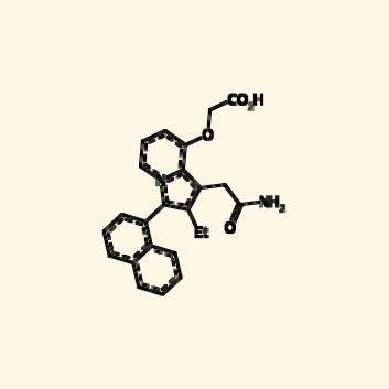 CCc1c(CC(N)=O)c2c(OCC(=O)O)cccn2c1-c1cccc2ccccc12